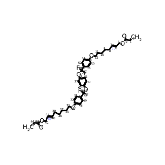 C=CC(=O)OC/C=C/CCCCCOc1ccc(C(F)(F)Oc2ccc(OC(F)(F)c3ccc(OCCCCC/C=C/COC(=O)C=C)cc3)cc2)cc1